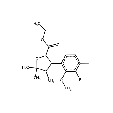 CCOC(=O)C1OC(C)(C)C(C)C1c1ccc(F)c(F)c1OC